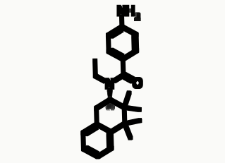 CCN(C(=O)c1ccc(N)cc1)[C@@H]1Cc2ccccc2C(C)(C)C1(C)C